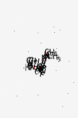 CCN(CC)C(=O)CN[C@H]1CC[C@@H](n2c(=O)c3cc(F)cnc3n(-c3cccc(-c4ccc(CN5CCN(C(C)C)CC5)cc4)c3)c2=O)CC1